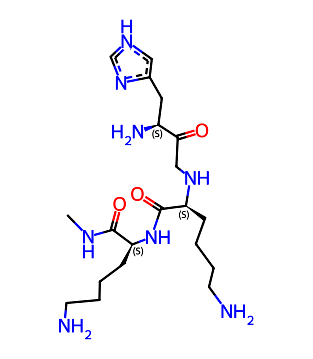 CNC(=O)[C@H](CCCCN)NC(=O)[C@H](CCCCN)NCC(=O)[C@@H](N)Cc1c[nH]cn1